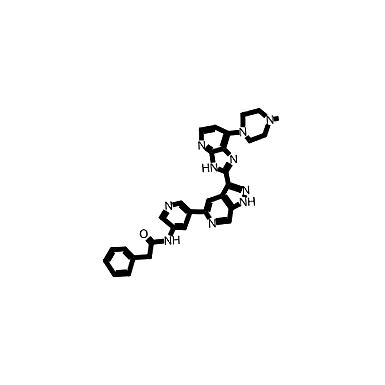 CN1CCN(c2ccnc3[nH]c(-c4n[nH]c5cnc(-c6cncc(NC(=O)Cc7ccccc7)c6)cc45)nc23)CC1